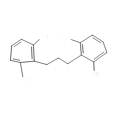 Oc1cccc(O)c1CCCc1c(O)cccc1O